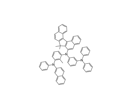 Cc1c(N(c2ccccc2)c2ccc3ccccc3c2)cccc1N(c1cccc(N(c2ccccc2)c2ccccc2)c1)c1cc2ccccc2c2c1C(C)(C)c1ccc3ccccc3c1-2